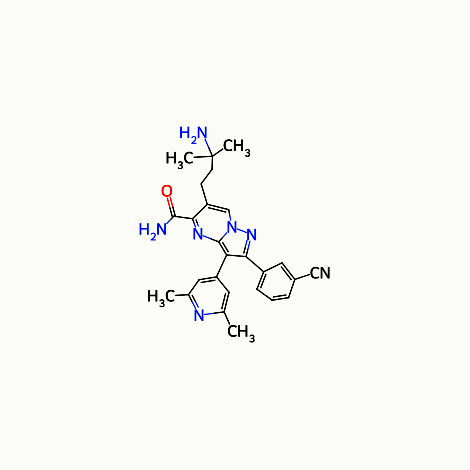 Cc1cc(-c2c(-c3cccc(C#N)c3)nn3cc(CCC(C)(C)N)c(C(N)=O)nc23)cc(C)n1